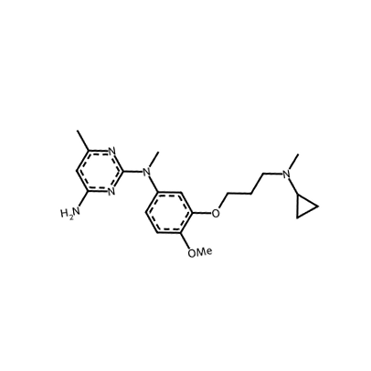 COc1ccc(N(C)c2nc(C)cc(N)n2)cc1OCCCN(C)C1CC1